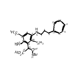 CCCc1c(C)cc(NCCCc2ccccc2)c(C)c1C(OC(C)(C)C)C(=O)O